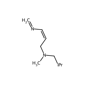 C=N/C=C\CN(C)CC(C)C